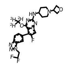 [2H]C([2H])([2H])Oc1nc(NC2CCN(C3COC3)CC2)nn2cc(F)c(-c3ccc4nnn(CC(F)F)c4c3)c12